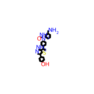 NCc1cccc(N(C(N)=O)c2ccc(-c3csc4c(-c5ccc(O)cc5)cnc(N)c34)cc2)c1